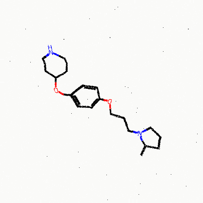 CC1CCCN1CCCOc1ccc(OC2CCNCC2)cc1